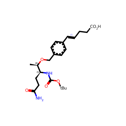 C[C@@H](OCc1ccc(/C=C/CCC(=O)O)cc1)[C@H](CCC(N)=O)NC(=O)OC(C)(C)C